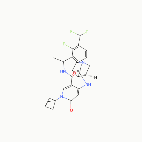 CC(NC(=O)c1cn(C23CC(C2)C3)c(=O)cc1N[C@@H]1CN2CCC1CC2)c1cccc(C(F)F)c1F